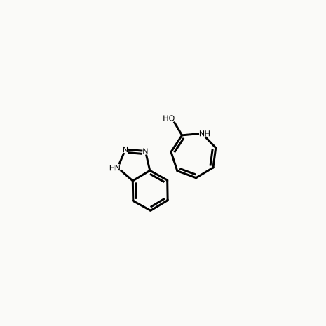 OC1=CC=CC=CN1.c1ccc2[nH]nnc2c1